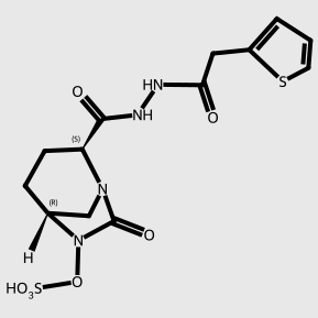 O=C(Cc1cccs1)NNC(=O)[C@@H]1CC[C@@H]2CN1C(=O)N2OS(=O)(=O)O